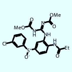 CCC(=O)Nc1ccc([S+]([O-])c2cccc(Cl)c2)cc1NC(=NC(=O)OC)NC(=O)OC